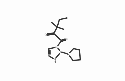 CCC(C)(C)C(=O)C(=O)N1C=NNN1N1CCCC1